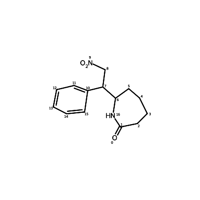 O=C1CCCCC(C(C[N+](=O)[O-])c2ccccc2)N1